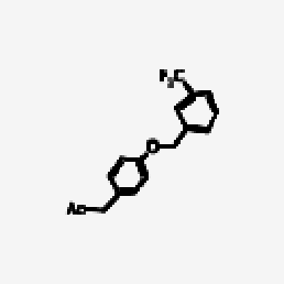 CC(=O)Cc1ccc(OCc2cccc(C(F)(F)F)c2)cc1